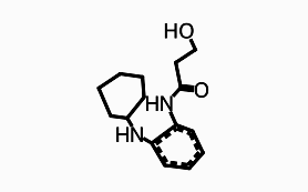 O=C(CCO)Nc1ccccc1NC1CCCCC1